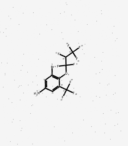 Nc1cc(Br)c(OC(F)(F)C(F)C(F)(F)F)c(C(F)(F)F)c1